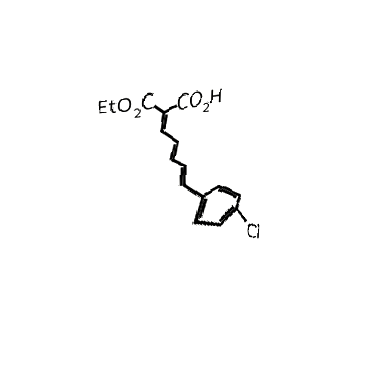 CCOC(=O)C(=CC=CC=Cc1ccc(Cl)cc1)C(=O)O